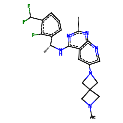 CC(=O)N1CC2(C1)CN(c1cnc3nc(C)nc(N[C@H](C)c4cccc(C(F)F)c4F)c3c1)C2